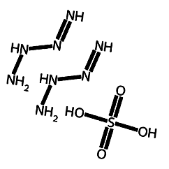 N=NNN.N=NNN.O=S(=O)(O)O